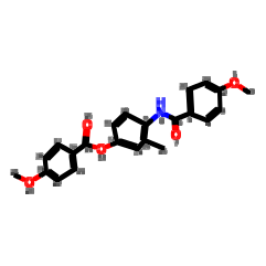 COc1ccc(C(=O)Nc2ccc(OC(=O)c3ccc(OC)cc3)cc2C)cc1